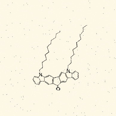 CCCCCCCCCCCCn1c2ccccc2c2cc3c(cc21)-c1cc2c(cc1C3=O)c1ccccc1n2CCCCCCCCCCCC